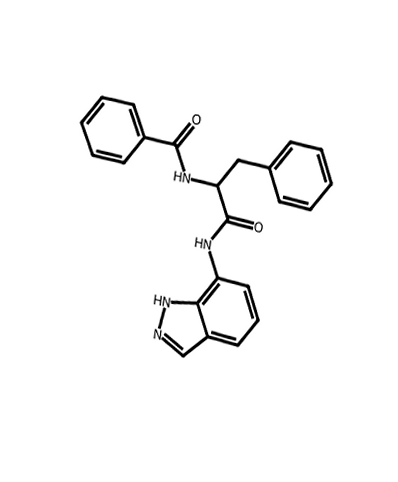 O=C(NC(Cc1ccccc1)C(=O)Nc1cccc2cn[nH]c12)c1ccccc1